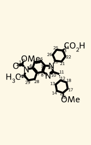 COC(=O)N1c2ccc3c(nc(C[C@H]4CC[C@H](OC)CC4)n3[C@H]3CC[C@H](C(=O)O)CC3)c2CC[C@@H]1C